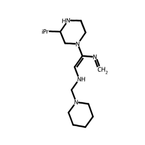 C=N/C(=C\NCN1CCCCC1)N1CCNC(C(C)C)C1